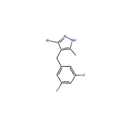 Cc1[nH]nc(C(C)C)c1Cc1cc(F)cc(F)c1